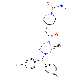 CC(C)(C)[C@H]1CN(C(c2ccc(F)cc2)c2ccc(F)cc2)CCN1C(=O)CC1CCN(C(N)=O)CC1